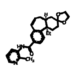 CC[C@@]12CCC3(C[C@@H]1CC=Cc1cc(C(=O)Nc4cccnc4C)ccc12)OCCO3